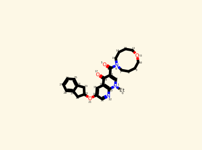 CCn1cc(C(=O)N2CCCCOCCCC2)c(=O)c2cc(OC3Cc4ccccc4C3)cnc21